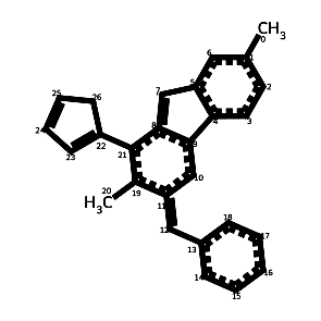 Cc1ccc2c(c1)[C]=c1c-2cc(=Cc2ccccc2)c(C)c1C1=CC=CC1